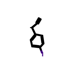 C#C[CH]c1ccc(I)cc1